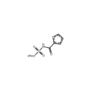 CCCCCS(=O)(=O)NC(=O)c1cccs1